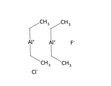 C[CH2][Al+][CH2]C.C[CH2][Al+][CH2]C.[Cl-].[F-]